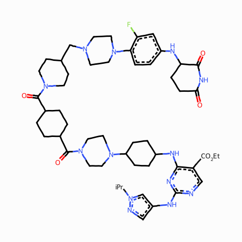 CCOC(=O)c1cnc(Nc2cnn(C(C)C)c2)nc1NC1CCC(N2CCN(C(=O)C3CCC(C(=O)N4CCC(CN5CCN(c6ccc(NC7CCC(=O)NC7=O)cc6F)CC5)CC4)CC3)CC2)CC1